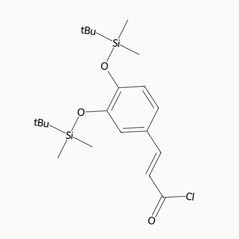 CC(C)(C)[Si](C)(C)Oc1ccc(/C=C/C(=O)Cl)cc1O[Si](C)(C)C(C)(C)C